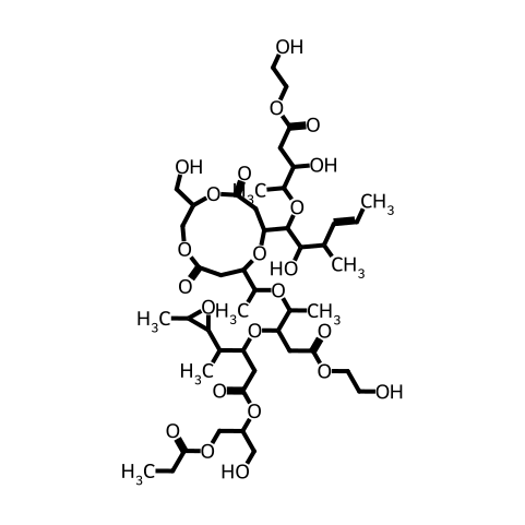 CC=CC(C)C(O)C(OC(C)C(O)CC(=O)OCCO)C1CC(=O)OC(CO)COC(=O)CC(C(C)OC(C)C(CC(=O)OCCO)OC(CC(=O)OC(CO)COC(=O)CC)C(C)C2OC2C)O1